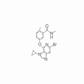 CNC(=O)c1cc(Oc2nc(Br)cc3ncn(C4CC4)c23)ccc1C